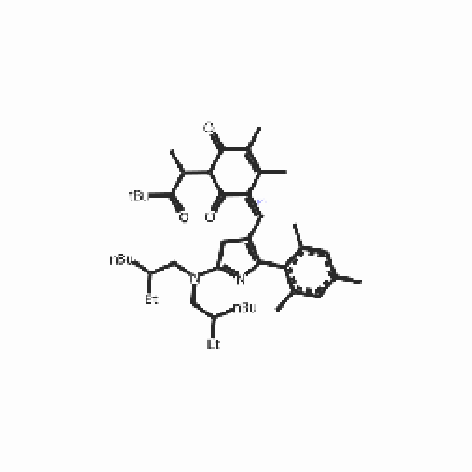 CCCCC(CC)CN(CC(CC)CCCC)C1=NC(c2c(C)cc(C)cc2C)=C(/C=C2\C(=O)C(C(C)C(=O)C(C)(C)C)C(=O)C(C)=C2C)C1